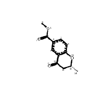 COC(=O)c1ccc2c(c1)C(=O)C[C@@H](C)O2